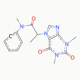 CC(C(=O)N(C)c1ccccc1)n1cnc2c1c(=O)n(C)c(=O)n2C